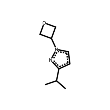 CC(C)c1ccn(C2COC2)n1